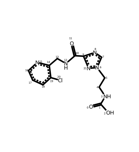 O=C(O)NCCn1cnc(C(=O)NCc2ncccc2Cl)n1